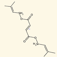 CC(C)=C[SiH2]OC(=O)/C=C/C(=O)O[SiH2]C=C(C)C